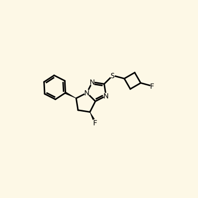 FC1CC(Sc2nc3n(n2)[C@H](c2ccccc2)C[C@@H]3F)C1